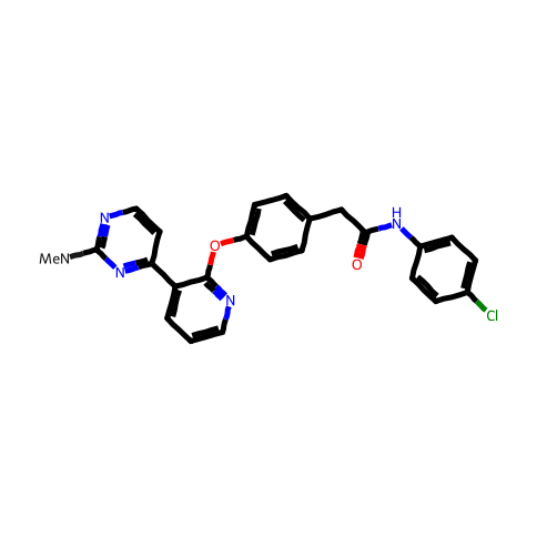 CNc1nccc(-c2cccnc2Oc2ccc(CC(=O)Nc3ccc(Cl)cc3)cc2)n1